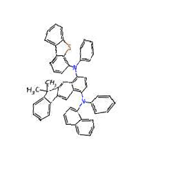 CC1(C)c2ccccc2-c2cc3c(N(c4ccccc4)c4cccc5ccccc45)ccc(N(c4ccccc4)c4cccc5c4sc4ccccc45)c3cc21